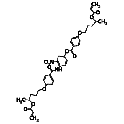 C=CC(=O)OC(C)CCCOc1ccc(C(=O)Nc2ccc(OC(=O)c3ccc(OCCCC(C)OC(=O)C=C)cc3)cc2[N+](=O)[O-])cc1